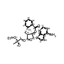 CCOP(C)(=O)CO[C@H]1O[C@@H](n2cnc3c(N)ncnc32)[C@](C)(OC(=O)c2ccccc2)[C@@H]1C